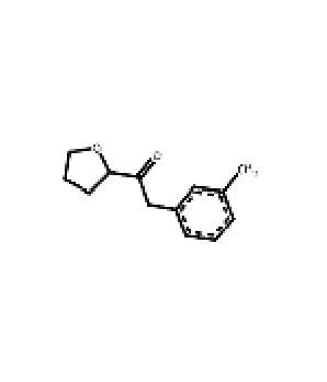 Cc1cccc(CC(=O)C2CCCO2)c1